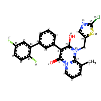 Cc1ccc[n+]2c(=O)c(-c3cccc(-c4cc(F)ccc4F)c3)c(O)n(Cc3cnc(Cl)s3)c12